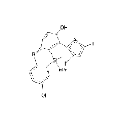 CCC[Si]1(C)C2=C(c3sc(I)cc3I)C(O)C=CC2=Nc2ccc(O)cc21